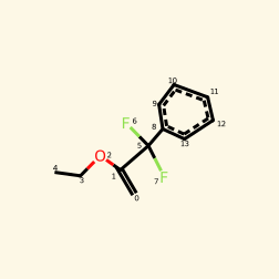 C=C(OCC)C(F)(F)c1ccccc1